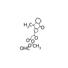 C=C1C2=C(CC(C(=O)CC(=O)OC(C)OC=O)=C2)C(=O)c2ccccc21